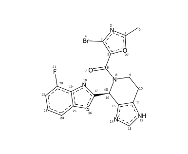 Cc1nc(Br)c(C(=O)N2CCc3[nH]cnc3[C@H]2c2nc3c(F)cccc3s2)o1